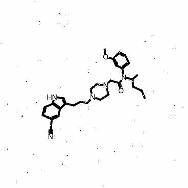 CCCC(C)N(C(=O)CN1CCN(CCCc2c[nH]c3ccc(C#N)cc23)CC1)c1cccc(OC)c1